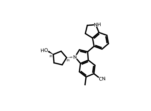 Cc1cc2c(cc1C#N)c(-c1cccc3c1CCN3)cn2[C@@H]1CC[C@@H](O)C1